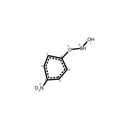 O=[N+]([O-])c1ccc(OBO)cc1